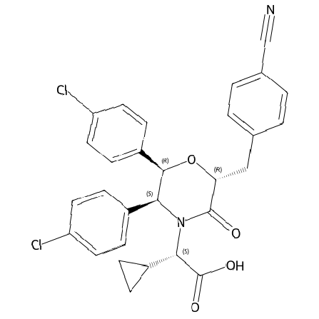 N#Cc1ccc(C[C@H]2O[C@H](c3ccc(Cl)cc3)[C@H](c3ccc(Cl)cc3)N([C@H](C(=O)O)C3CC3)C2=O)cc1